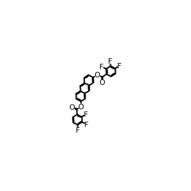 O=C(Oc1ccc2cc3ccc(OC(=O)c4ccc(F)c(F)c4F)cc3cc2c1)c1ccc(F)c(F)c1F